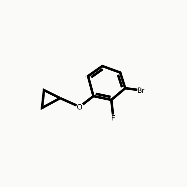 Fc1c(OC2CC2)[c]ccc1Br